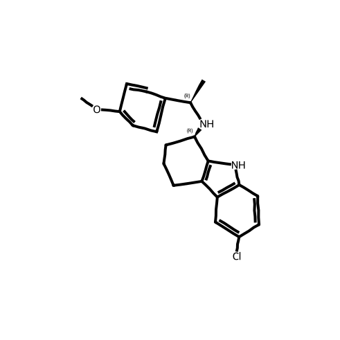 COc1ccc([C@@H](C)N[C@@H]2CCCc3c2[nH]c2ccc(Cl)cc32)cc1